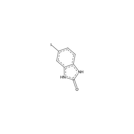 O=c1[nH]c2ccc(I)cc2[nH]1